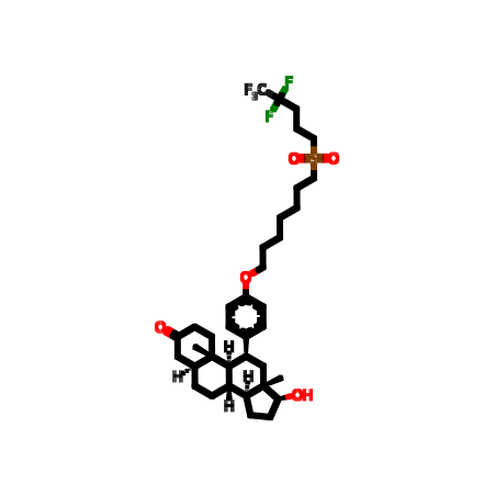 C[C@]12CCC(=O)C[C@@H]1CC[C@@H]1[C@@H]2[C@@H](c2ccc(OCCCCCCCS(=O)(=O)CCCC(F)(F)C(F)(F)F)cc2)C[C@]2(C)[C@@H](O)CC[C@@H]12